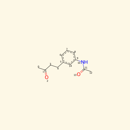 CC(=O)CCc1cccc(NC(C)=O)c1